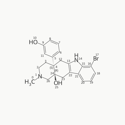 CN1CC[C@@]2(c3cccc(O)c3)Cc3[nH]c4c(Br)cccc4c3C[C@]2(O)C1